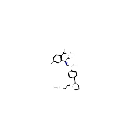 O=C1NC(=O)c2ccc(I)cc2/C1=C/Nc1ccc(C2CCCN2CCO)cc1